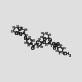 Cc1ccc(S(=O)(=O)OC[C@@H](COc2ccc(C(=O)c3ccc(OC[C@H](CCl)OC4CCCCO4)cc3)cc2)OC2CCCCO2)cc1